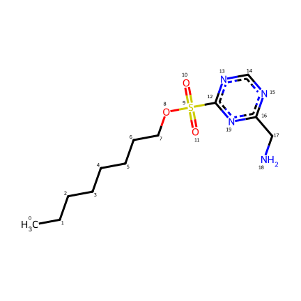 CCCCCCCCOS(=O)(=O)c1ncnc(CN)n1